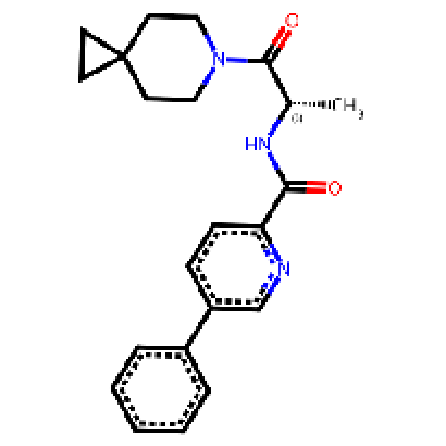 C[C@H](NC(=O)c1ccc(-c2ccccc2)cn1)C(=O)N1CCC2(CC1)CC2